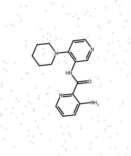 Nc1cccnc1C(=O)Nc1cnccc1N1CCCCC1